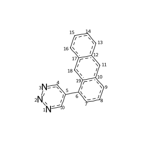 [c]1nnncc1-c1cccc2cc3ccccc3cc12